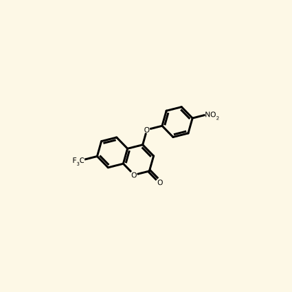 O=c1cc(Oc2ccc([N+](=O)[O-])cc2)c2ccc(C(F)(F)F)cc2o1